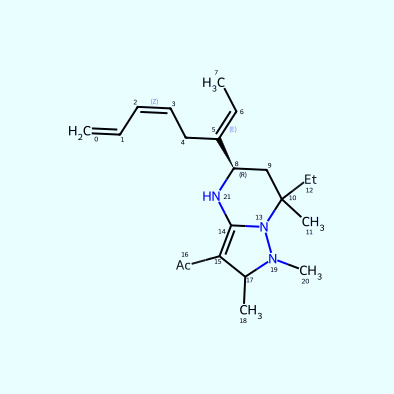 C=C/C=C\C/C(=C\C)[C@H]1CC(C)(CC)N2C(=C(C(C)=O)C(C)N2C)N1